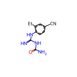 CCc1cc(C#N)ccc1NC(=N)NC(N)=O